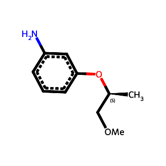 COC[C@H](C)Oc1cccc(N)c1